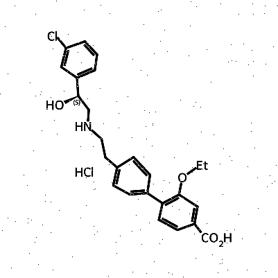 CCOc1cc(C(=O)O)ccc1-c1ccc(CCNC[C@@H](O)c2cccc(Cl)c2)cc1.Cl